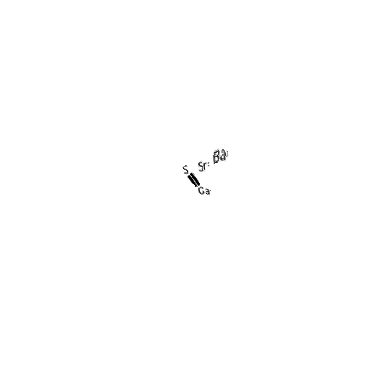 [Ba].[S]=[Ga].[Sr]